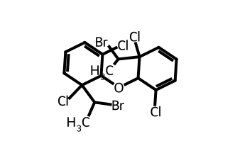 CC(Br)C1(Cl)C=CC=C(Cl)C1OC1C(Cl)=CC=CC1(Cl)C(C)Br